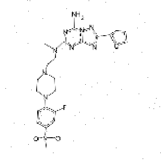 CN(CCN1CCN(c2ccc(S(C)(=O)=O)cc2F)CC1)c1nc(N)n2nc(-c3ccco3)nc2n1